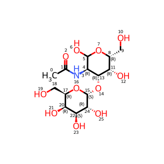 CC(=O)N[C@H]1C(O)O[C@H](CO)[C@H](O)[C@@H]1O[C@H]1O[C@H](CO)[C@H](O)[C@H](O)[C@H]1O